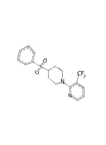 O=S(=O)(c1ccccc1)C1CCN(c2ncccc2C(F)(F)F)CC1